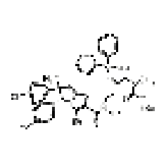 CC(C)C1=C(C(=O)N(CC[C@@H](CN(C)C(=O)OC(C)(C)C)O[Si](c2ccccc2)(c2ccccc2)C(C)(C)C)C(C)C)SC2=N[C@@](C)(c3ccc(Cl)cc3)[C@@H](c3ccc(Cl)cc3)N21